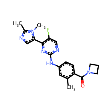 Cc1cc(Nc2ncc(F)c(-c3cnc(C)n3C)n2)ccc1C(=O)N1CCC1